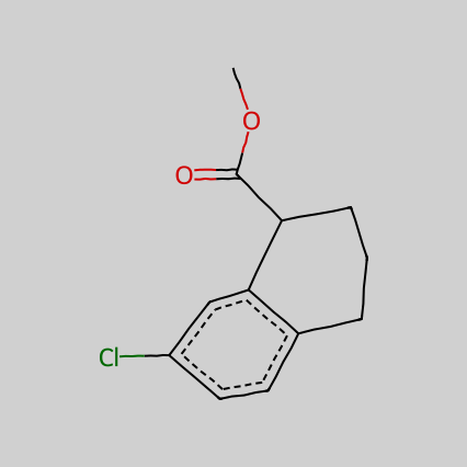 COC(=O)C1CCCc2ccc(Cl)cc21